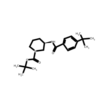 CC(C)(C)OC(=O)N1CCC[C@@H](NC(=O)c2ccc(C(C)(C)C)cc2)C1